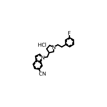 Cl.N#Cc1ccc2ccn(CC3CCN(CCc4cccc(F)c4)C3)c2c1